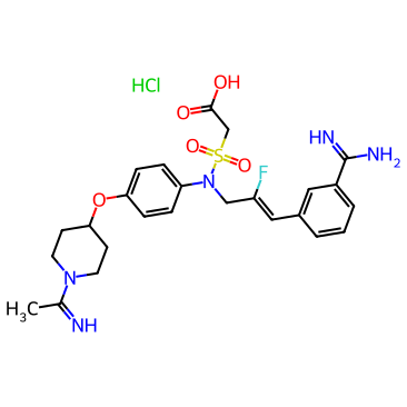 CC(=N)N1CCC(Oc2ccc(N(CC(F)=Cc3cccc(C(=N)N)c3)S(=O)(=O)CC(=O)O)cc2)CC1.Cl